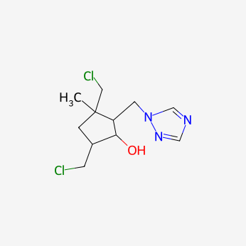 CC1(CCl)CC(CCl)C(O)C1Cn1cncn1